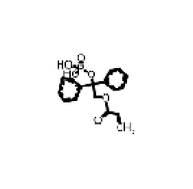 C=CC(=O)OCC(OP(=O)(O)O)(c1ccccc1)c1ccccc1